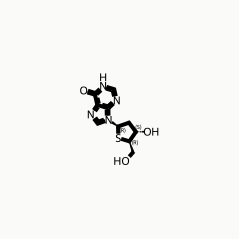 O=c1[nH]cnc2c1ncn2[C@H]1C[C@H](O)[C@@H](CO)S1